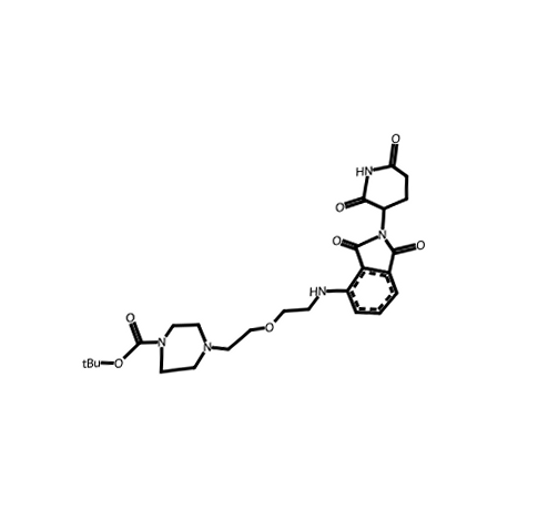 CC(C)(C)OC(=O)N1CCN(CCOCCNc2cccc3c2C(=O)N(C2CCC(=O)NC2=O)C3=O)CC1